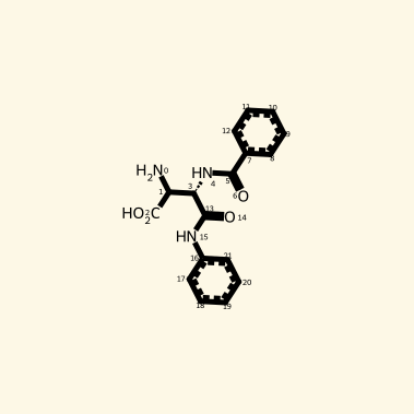 NC(C(=O)O)[C@H](NC(=O)c1ccccc1)C(=O)Nc1ccccc1